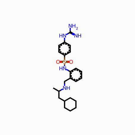 CC(CC1CCCCC1)NCc1ccccc1NS(=O)(=O)c1ccc(NC(=N)N)cc1